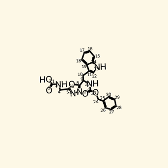 O=C(O)NCc1nnc(C(Cc2c[nH]c3ccccc23)NC(=O)OCc2ccccc2)o1